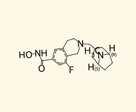 CN1[C@@H]2CC[C@H]1CC(CN1CCc3cc(C(=O)NO)cc(F)c3C1)C2